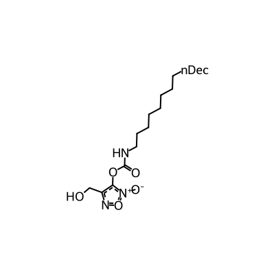 CCCCCCCCCCCCCCCCCCNC(=O)Oc1c(CO)no[n+]1[O-]